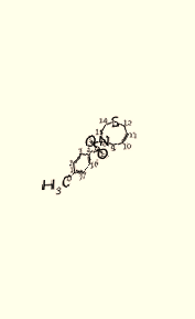 Cc1ccc(S(=O)(=O)N2C/C=C\CSCC2)cc1